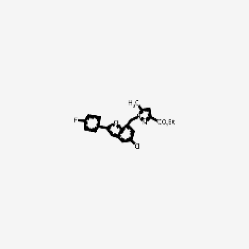 CCOC(=O)c1cc(C)n(Cc2cc(Cl)cc3cc(-c4ccc(F)cc4)oc23)n1